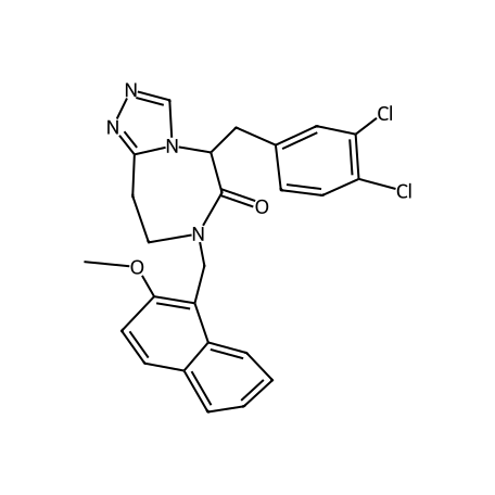 COc1ccc2ccccc2c1CN1CCc2nncn2C(Cc2ccc(Cl)c(Cl)c2)C1=O